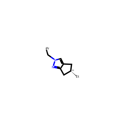 CC[C@H]1Cc2cn(CC(C)C)nc2C1